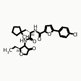 CC[C@@H]1OCC(=O)C1NC(=O)[C@H](CC1(C)CCCC1)NC(=O)c1ccc(-c2ccc(Cl)cc2)o1